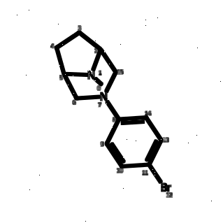 CN1C2CCC1CN(c1ccc(Br)cc1)C2